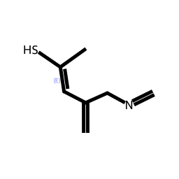 C=NCC(=C)/C=C(\C)S